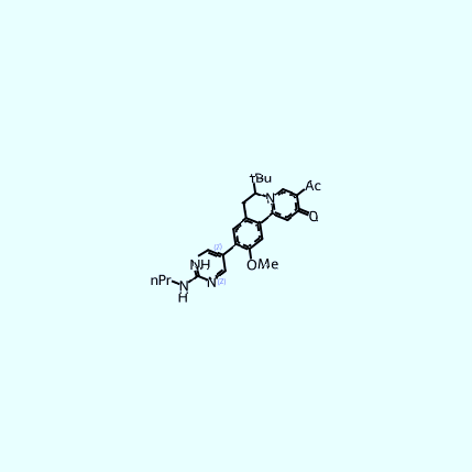 C/C=C(\C=N/C(=N)NCCC)c1cc2c(cc1OC)-c1cc(=O)c(C(C)=O)cn1C(C(C)(C)C)C2